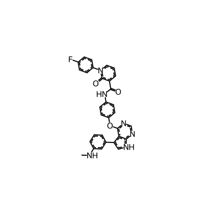 CNc1cccc(-c2c[nH]c3ncnc(Oc4ccc(NC(=O)c5cccn(-c6ccc(F)cc6)c5=O)cc4)c23)c1